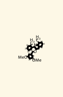 COc1cc(COc2cc3cccc(C)c3nc2-c2ccccc2C)cc(OC)c1